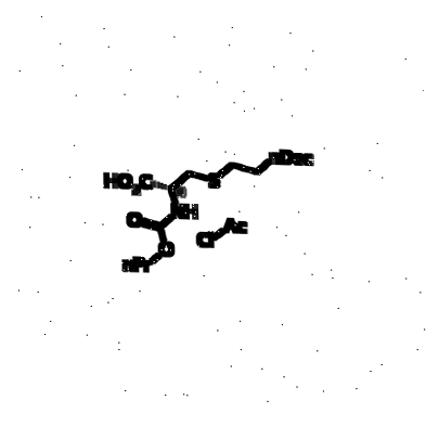 CC(=O)Cl.CCCCCCCCCCCCSC[C@H](NC(=O)OCCC)C(=O)O